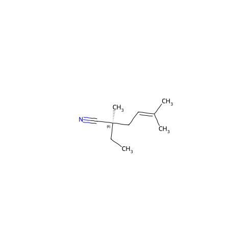 CC[C@@](C)(C#N)CC=C(C)C